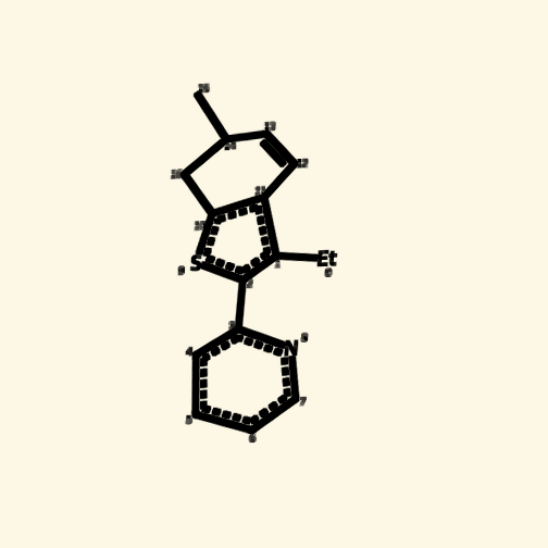 CCc1c(-c2ccccn2)sc2c1C=CC(C)C2